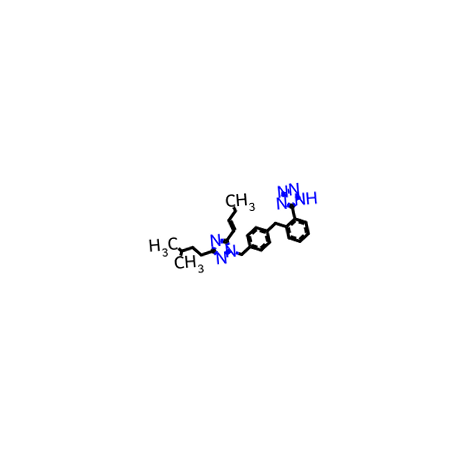 CC/C=C/c1nc(CCC(C)C)nn1Cc1ccc(Cc2ccccc2-c2nnn[nH]2)cc1